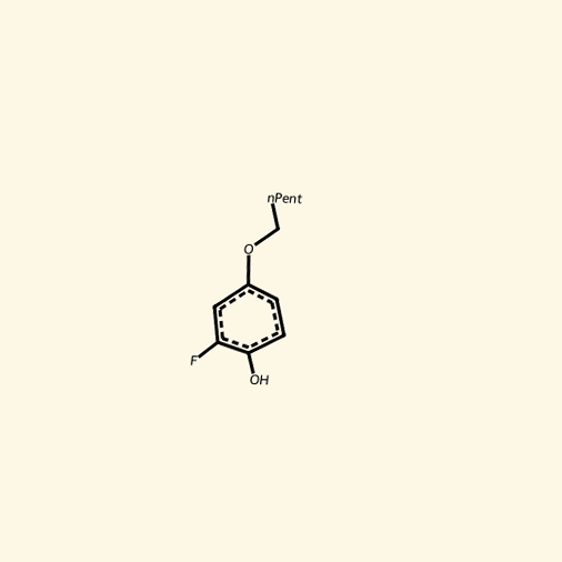 CCCCCCOc1ccc(O)c(F)c1